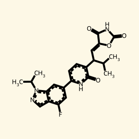 CC(C)C(C=C1OC(=O)NC1=O)c1ccc(-c2cc(F)c3cnn(C(C)C)c3c2)[nH]c1=O